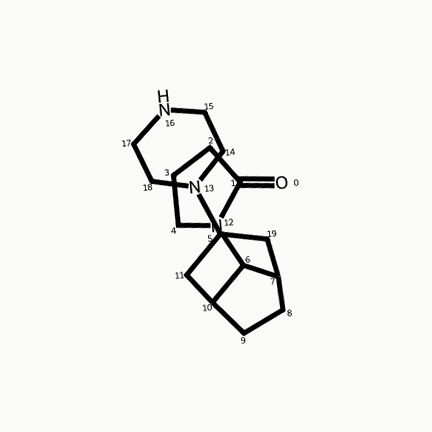 O=C1CCCN1C1C2CCC1CC(N1CCNCC1)C2